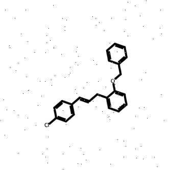 Clc1ccc(C=CCc2ccccc2OCc2ccccc2)cc1